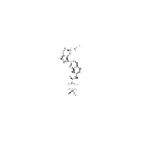 O=C(Nc1ncc2ccc(-c3cnn4c3CN(CCF)CC4)cc2n1)C1CCC(F)(F)CC1